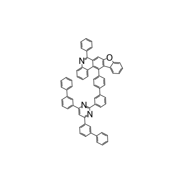 c1ccc(-c2cccc(-c3cc(-c4cccc(-c5ccccc5)c4)nc(-c4cccc(-c5ccc(-c6c7c(cc8c(-c9ccccc9)nc9ccccc9c68)oc6ccccc67)cc5)c4)n3)c2)cc1